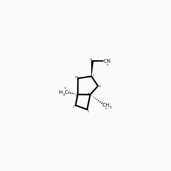 C[C@@]12CC[C@]1(C)C[C@H](CC#N)C2